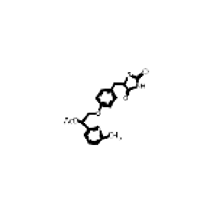 CC(=O)OC(COc1ccc(CC2SC(=O)NC2=O)cc1)c1cccc(C)n1